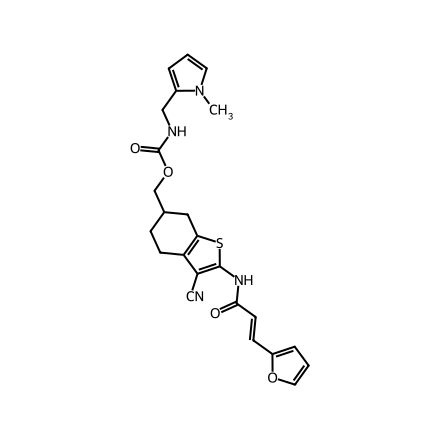 Cn1cccc1CNC(=O)OCC1CCc2c(sc(NC(=O)C=Cc3ccco3)c2C#N)C1